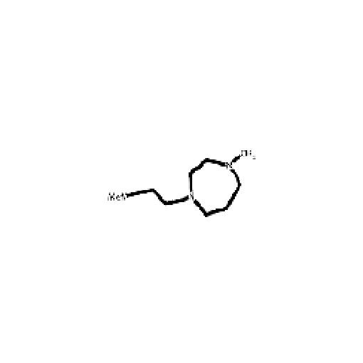 CNCCN1CCCN(C)CC1